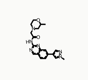 CC1CN(CC(=O)Nc2ncc3ccc(-c4cnn(C)c4)cc3n2)CCO1